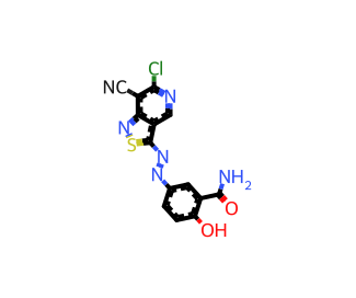 N#Cc1c(Cl)ncc2c(/N=N/c3ccc(O)c(C(N)=O)c3)snc12